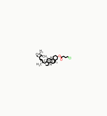 CC[C@H](/C=C/[C@@H](C)[C@H]1CC[C@H]2[C@@H]3CC=C4C[C@@H](OC(=O)CCCCl)CC[C@]4(C)[C@H]3CC[C@]12C)C(C)C